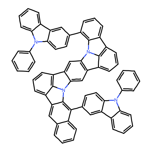 c1ccc(-n2c3ccccc3c3cc(-c4cccc5c6cccc7c8cc9c(cc8n(c45)c76)c4cccc5c6cc7ccccc7c(-c7ccc8c(c7)c7ccccc7n8-c7ccccc7)c6n9c45)ccc32)cc1